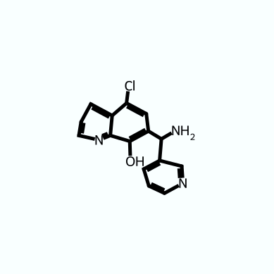 NC(c1cccnc1)c1cc(Cl)c2cccnc2c1O